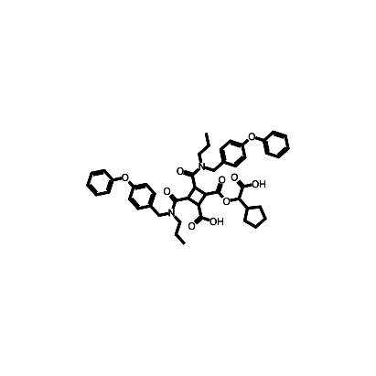 CCCN(Cc1ccc(Oc2ccccc2)cc1)C(=O)C1C(C(=O)O)C(C(=O)OC(C(=O)O)C2CCCC2)C1C(=O)N(CCC)Cc1ccc(Oc2ccccc2)cc1